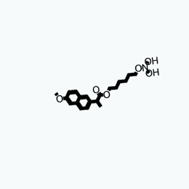 COc1ccc2cc(C(C)C(=O)OCCCCCCON(O)O)ccc2c1